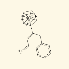 C=CC=C(Cc1ccccc1)[C]12[CH]3[CH]4[CH]5[CH]1[Fe]45321678[CH]2[CH]1[CH]6[CH]7[CH]28